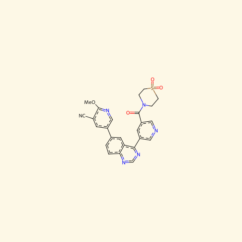 COc1ncc(-c2ccc3ncnc(-c4cncc(C(=O)N5CCS(=O)(=O)CC5)c4)c3c2)cc1C#N